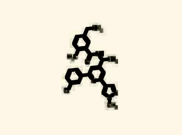 Cc1ccc(CN)cc1C(=O)NC(C)c1cc(-c2cccc(Cl)c2)nc(-c2cnn(C)c2)c1